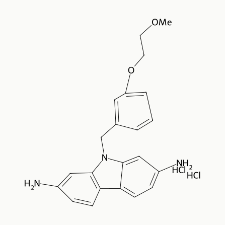 COCCOc1cccc(Cn2c3cc(N)ccc3c3ccc(N)cc32)c1.Cl.Cl